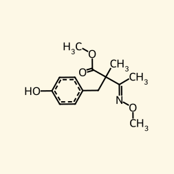 CON=C(C)C(C)(Cc1ccc(O)cc1)C(=O)OC